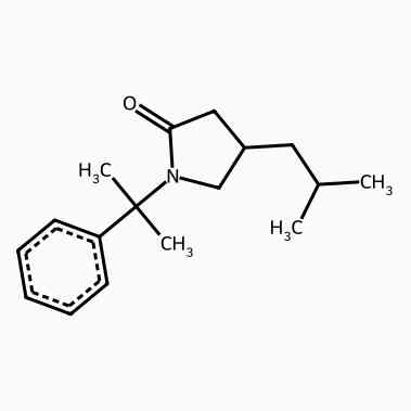 CC(C)CC1CC(=O)N(C(C)(C)c2ccccc2)C1